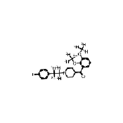 [2H]C([2H])([2H])Oc1cccc(C(=O)C2CCN(C([2H])([2H])C([2H])([2H])c3ccc(F)cc3)CC2)c1OC([2H])([2H])[2H]